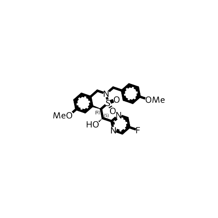 COc1ccc(CN2Cc3ccc(OC)cc3[C@H]([C@@H](O)c3ncc(F)cn3)S2(=O)=O)cc1